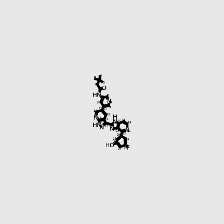 CC(C)(C)CC(=O)Nc1cncc(-c2cnc3[nH]nc(-c4nc5c(-c6cc(O)cc(F)c6)nccc5[nH]4)c3c2)c1